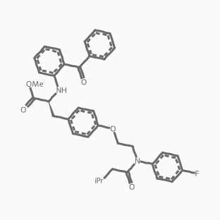 COC(=O)[C@H](Cc1ccc(OCCN(C(=O)CC(C)C)c2ccc(F)cc2)cc1)Nc1ccccc1C(=O)c1ccccc1